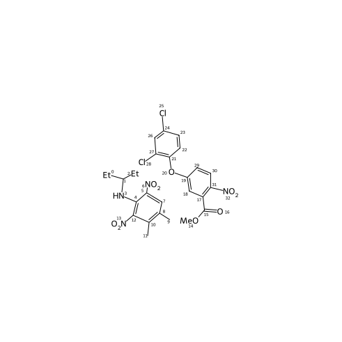 CCC(CC)Nc1c([N+](=O)[O-])cc(C)c(C)c1[N+](=O)[O-].COC(=O)c1cc(Oc2ccc(Cl)cc2Cl)ccc1[N+](=O)[O-]